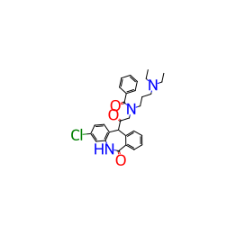 CCN(CC)CCCN(CC(=O)C1c2ccc(Cl)cc2NC(=O)c2ccccc21)C(=O)c1ccccc1